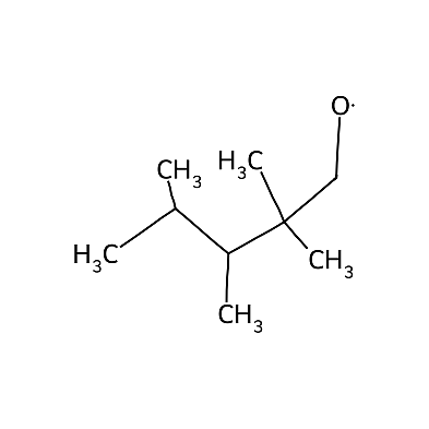 CC(C)C(C)C(C)(C)C[O]